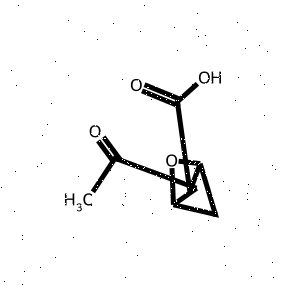 CC(=O)C1C2CC(O2)C1C(=O)O